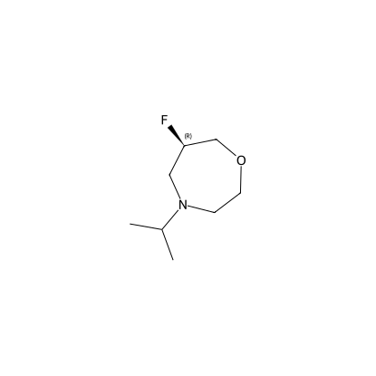 CC(C)N1CCOC[C@H](F)C1